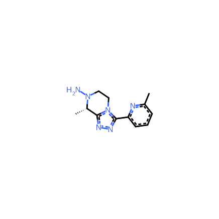 Cc1cccc(-c2nnc3n2CCN(N)[C@H]3C)n1